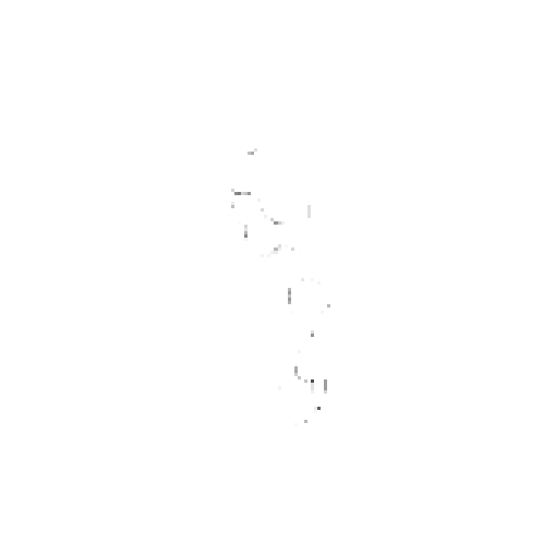 CC(=O)N[C@@H](C)CO[C@H]1CC[C@H](OC2=CCC3(C)N=C(OC(C)CF)SC3=C2Cl)CC1